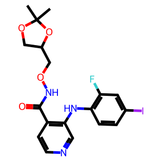 CC1(C)OCC(CONC(=O)c2ccncc2Nc2ccc(I)cc2F)O1